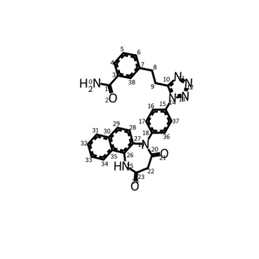 NC(=O)c1cccc(CCc2nnnn2-c2ccc(N3C(=O)CC(=O)Nc4c3ccc3ccccc43)cc2)c1